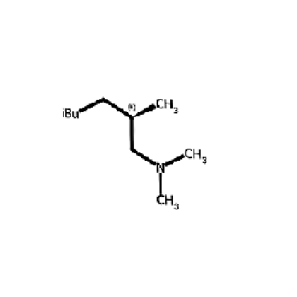 CCC(C)C[C@@H](C)CN(C)C